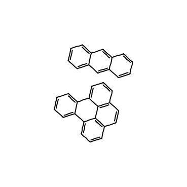 c1ccc2c(c1)c1cccc3ccc4cccc2c4c31.c1ccc2cc3ccccc3cc2c1